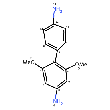 COc1[c]c(N)cc(OC)c1-c1ccc(N)cc1